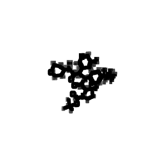 CC(C)(C)OC(=O)N1CCC(F)(F)C1C(=O)N(c1ccc(S(F)(F)(F)(F)F)cc1)C(C(=O)NC1CCOCC1)c1cncc(F)c1